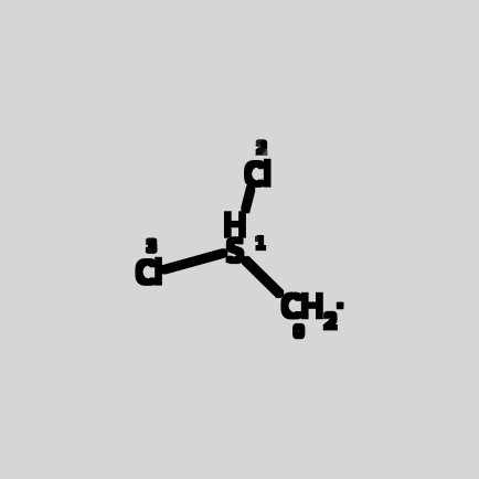 [CH2][SH](Cl)Cl